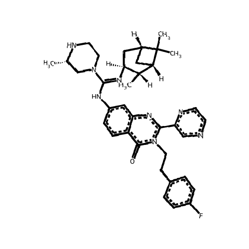 C[C@@H]1[C@@H](N=C(Nc2ccc3c(=O)n(CCc4ccc(F)cc4)c(-c4cnccn4)nc3c2)N2CCN[C@@H](C)C2)C[C@H]2C[C@@H]1C2(C)C